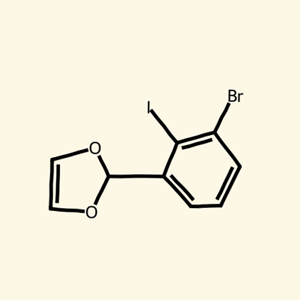 Brc1cccc(C2OC=CO2)c1I